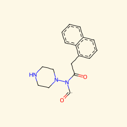 O=[C]N(C(=O)Cc1cccc2ccccc12)N1CCNCC1